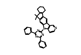 CC1(C)C2=C(CCCC2)c2cc3c4cnccc4n(-c4nc(-c5ccccc5)nc(-c5ccccc5)n4)c3cc21